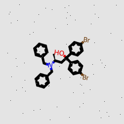 C[C@@H](CC(O)(c1ccc(Br)cc1)c1ccc(Br)cc1)N(Cc1ccccc1)Cc1ccccc1